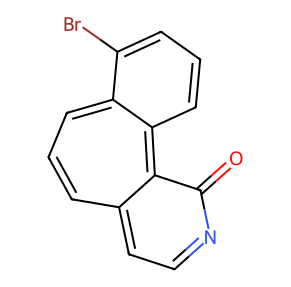 O=c1nccc2cccc3c(Br)cccc3c1-2